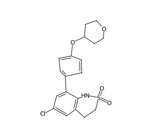 O=S1(=O)CCc2cc(Cl)cc(-c3ccc(OC4CCOCC4)cc3)c2N1